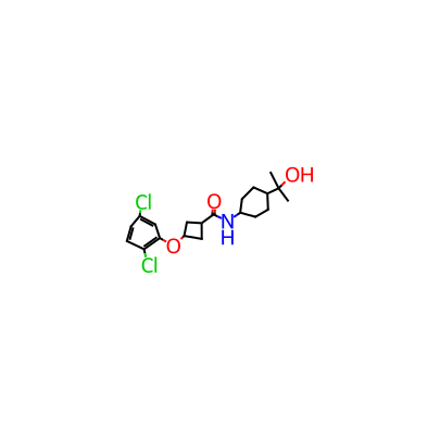 CC(C)(O)C1CCC(NC(=O)C2CC(Oc3cc(Cl)ccc3Cl)C2)CC1